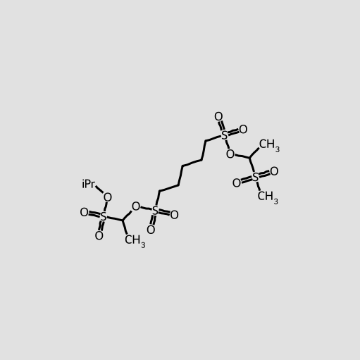 CC(C)OS(=O)(=O)C(C)OS(=O)(=O)CCCCCS(=O)(=O)OC(C)S(C)(=O)=O